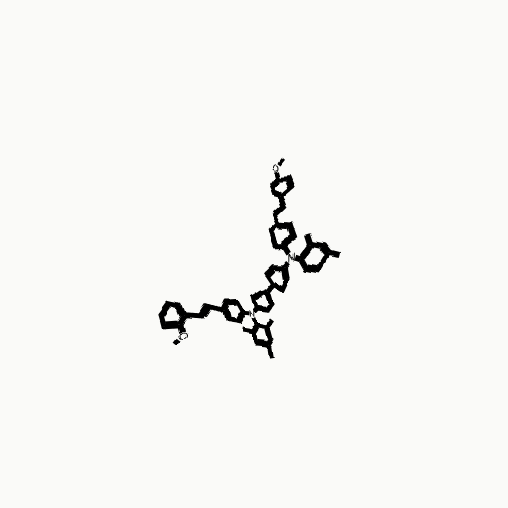 COc1ccc(/C=C/c2ccc(N(c3ccc(-c4ccc(N(c5ccc(/C=C/c6ccccc6OC)cc5)c5c(C)cc(C)cc5C)cc4)cc3)c3ccc(C)cc3C)cc2)cc1